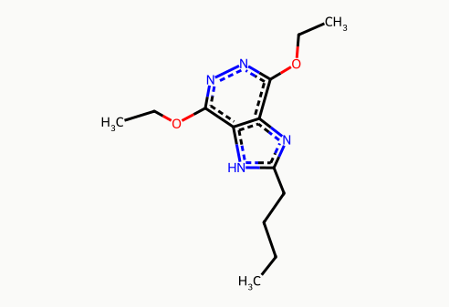 CCCCc1nc2c(OCC)nnc(OCC)c2[nH]1